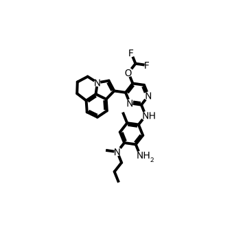 CCCN(C)c1cc(C)c(Nc2ncc(OC(F)F)c(-c3cn4c5c(cccc35)CCC4)n2)cc1N